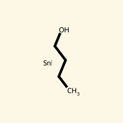 CCCCO.[Sn]